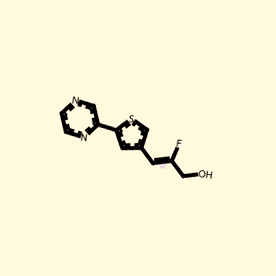 OC/C(F)=C/c1csc(-c2cnccn2)c1